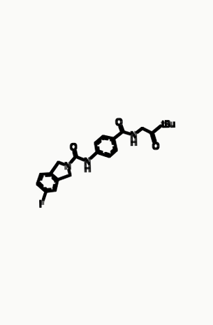 CC(C)(C)C(=O)CNC(=O)c1ccc(NC(=O)N2Cc3ccc(F)cc3C2)cc1